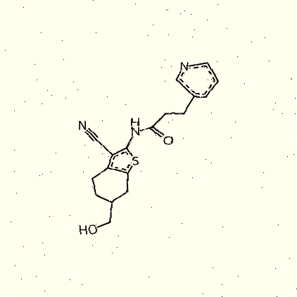 N#Cc1c(NC(=O)CCc2cccnc2)sc2c1CCC(CO)C2